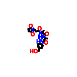 CC(NC(=O)CCN1C(=O)C=CC1=O)C(=O)NC(C)C(=O)Nc1ccc(CO)cc1